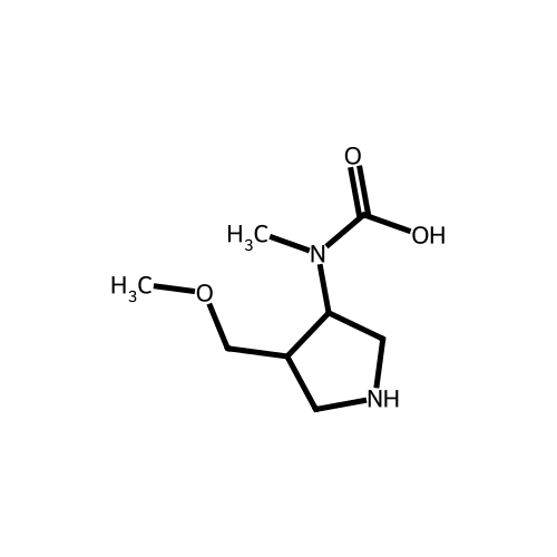 COCC1CNCC1N(C)C(=O)O